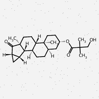 CC(C)(CO)C(=O)O[C@H]1CC[C@@]2(C)[C@H](CC[C@H]3[C@@H]4[C@@H]5C[C@@H]5C(=O)[C@@]4(C)CC[C@@H]32)C1